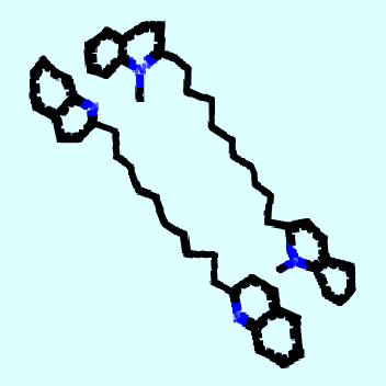 C[n+]1c(CCCCCCCCCCc2ccc3ccccc3[n+]2C)ccc2ccccc21.c1ccc2nc(CCCCCCCCCCc3ccc4ccccc4n3)ccc2c1